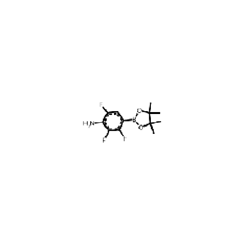 CC1(C)OB(c2cc(F)c(N)c(F)c2F)OC1(C)C